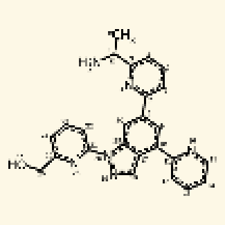 C[C@H](N)c1cccc(-c2cc(-c3ccccn3)c3cnn(-c4cccc(CO)n4)c3c2)n1